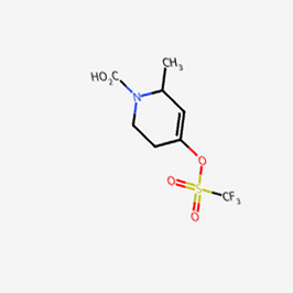 CC1C=C(OS(=O)(=O)C(F)(F)F)CCN1C(=O)O